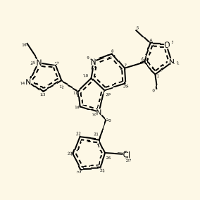 Cc1noc(C)c1-c1cnc2c(-c3cnn(C)c3)cn(Cc3ccccc3Cl)c2c1